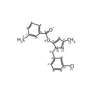 Cc1cccc(C(=O)Oc2cc(C)nn2Cc2cccc(Cl)c2)c1